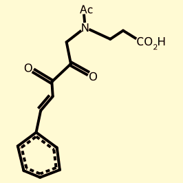 CC(=O)N(CCC(=O)O)CC(=O)C(=O)/C=C/c1ccccc1